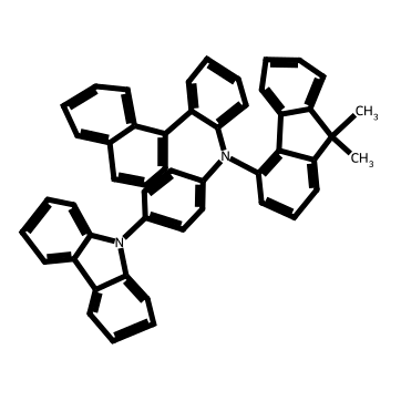 CC1(C)c2ccccc2-c2c(N(c3ccc(-n4c5ccccc5c5ccccc54)cc3)c3ccccc3-c3cccc4ccccc34)cccc21